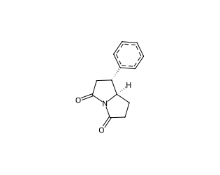 O=C1CC[C@@H]2[C@@H](c3ccccc3)CC(=O)N12